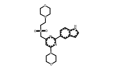 O=S(=O)(CCN1CCOCC1)Cc1cc(N2CCOCC2)nc(-c2ccc3[nH]ccc3c2)n1